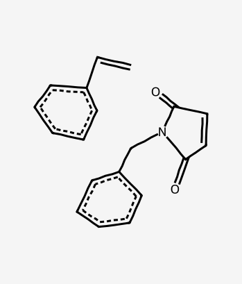 C=Cc1ccccc1.O=C1C=CC(=O)N1Cc1ccccc1